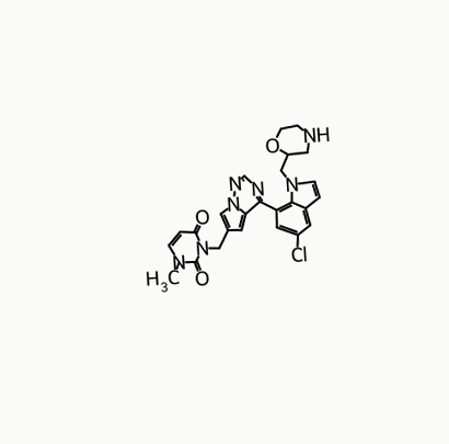 Cn1ccc(=O)n(Cc2cc3c(-c4cc(Cl)cc5ccn(CC6CNCCO6)c45)ncnn3c2)c1=O